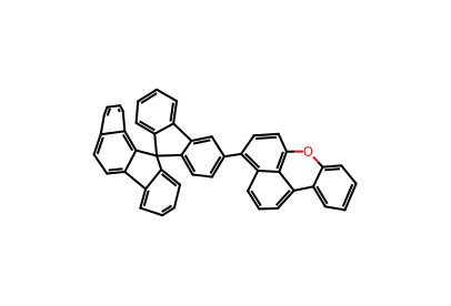 c1ccc2c(c1)Oc1ccc(-c3ccc4c(c3)-c3ccccc3C43c4ccccc4-c4ccc5ccccc5c43)c3cccc-2c13